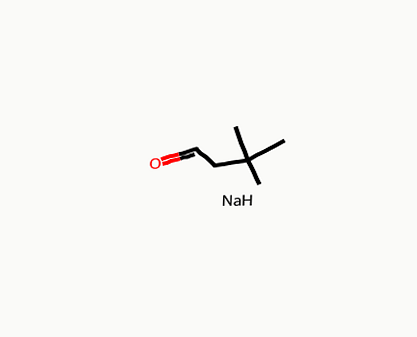 CC(C)(C)CC=O.[NaH]